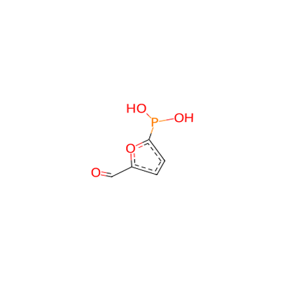 O=Cc1ccc(P(O)O)o1